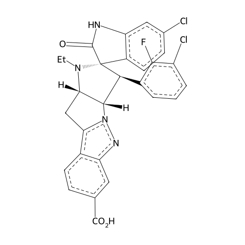 CCN1[C@H]2Cc3c4ccc(C(=O)O)cc4nn3[C@H]2[C@H](c2cccc(Cl)c2F)[C@]12C(=O)Nc1cc(Cl)ccc12